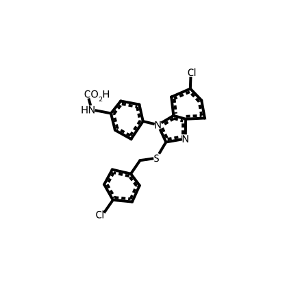 O=C(O)Nc1ccc(-n2c(SCc3ccc(Cl)cc3)nc3ccc(Cl)cc32)cc1